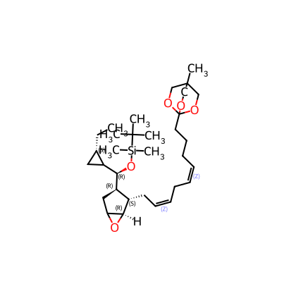 CC[C@H]1CC1[C@@H](O[Si](C)(C)C(C)(C)C)[C@@H]1CC2O[C@@H]2[C@H]1C/C=C\C/C=C\CCCC12OCC(C)(CO1)CO2